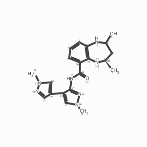 C[C@@H]1CC(O)Nc2cccc(C(=O)Nc3nn(C)cc3-c3cnn(C)c3)c2N1